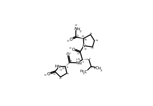 CC(C)C[C@H](NC(=O)[C@@H]1CCC(=O)N1)C(=O)N1CCC[C@@H]1C(N)=O